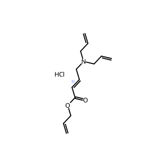 C=CCOC(=O)/C=C/CN(CC=C)CC=C.Cl